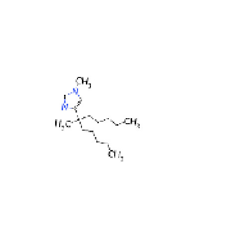 CCCCCC(C)(CCCCC)c1cn(C)cn1